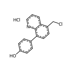 Cl.Oc1ccc(-c2ccc(CCl)c3cccnc23)cc1